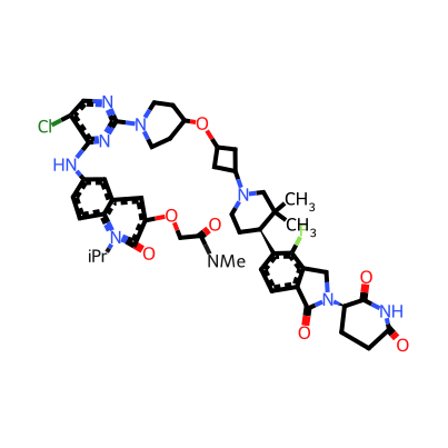 CNC(=O)COc1cc2cc(Nc3nc(N4CCC(OC5CC(N6CC[C@H](c7ccc8c(c7F)CN([C@@H]7CCC(=O)NC7=O)C8=O)C(C)(C)C6)C5)CC4)ncc3Cl)ccc2n(C(C)C)c1=O